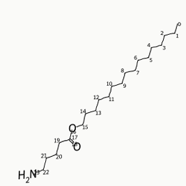 CCCCCCCCCCCCCCCCOC(=O)CCCCN